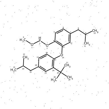 COPOc1ccc(CC(C)C)cc1Oc1ccc(CC(C)C)cc1C(C)(C)C